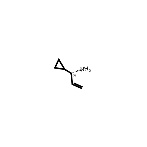 C=C[C@@H](N)C1CC1